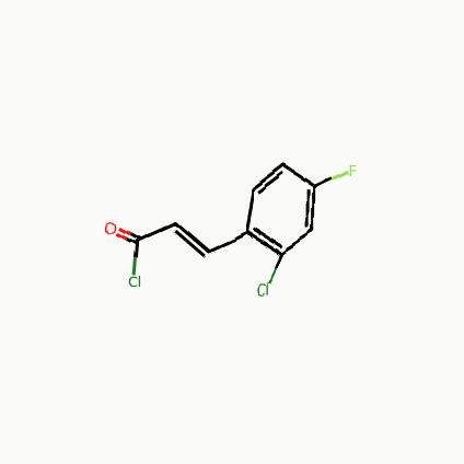 O=C(Cl)/C=C/c1ccc(F)cc1Cl